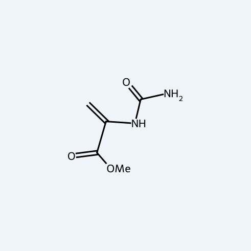 C=C(NC(N)=O)C(=O)OC